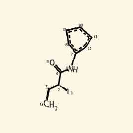 CC[C@H](I)C(=O)Nc1ccccc1